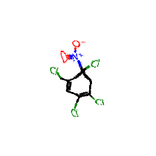 O=[N+]([O-])C1(Cl)CC(Cl)=C(Cl)C=C1Cl